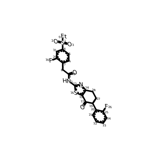 CCS(=O)(=O)c1ccc(CC(=O)Nc2nc3c(s2)C(=O)C(c2ccccc2F)CC3)c(F)c1